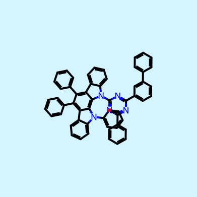 c1ccc(-c2cccc(-c3nc(-c4ccccc4)nc(-n4c5ccccc5c5c(-c6ccccc6)c(-c6ccccc6)c6c7ccccc7n(-c7ccccc7)c6c54)n3)c2)cc1